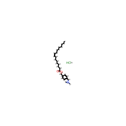 CCCCCCCC/C=C\CCCCCCCC(=O)OCc1ccc(CN(C)C)cc1.Cl